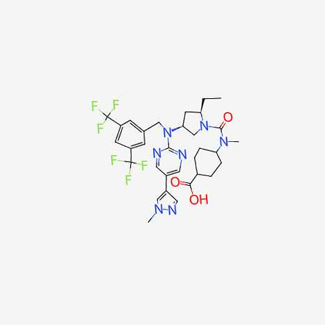 CC[C@@H]1C[C@H](N(Cc2cc(C(F)(F)F)cc(C(F)(F)F)c2)c2ncc(-c3cnn(C)c3)cn2)CN1C(=O)N(C)C1CCC(C(=O)O)CC1